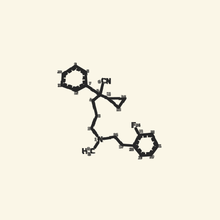 CN(CCCC(C#N)(c1ccccc1)C1CC1)CCc1ccccc1F